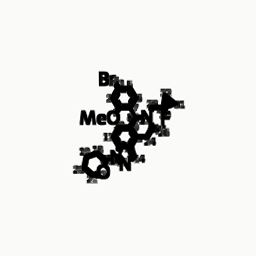 COc1cc(Br)ccc1[C@@H]1c2ccc3c(cnn3[C@H]3CCCCO3)c2C[C@@H](C)N1CC1(F)CC1